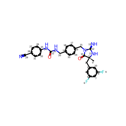 C[C@]1(Cc2cc(F)cc(F)c2)NC(=N)N(Cc2ccc(CNC(=O)Nc3ccc(C#N)cc3)cc2)C1=O